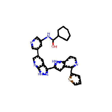 OC(Nc1cncc(-c2cnc3[nH]nc(-c4cc5c(-c6cccs6)nccc5[nH]4)c3c2)c1)C1CCCCC1